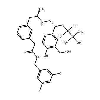 C[C@H](Cc1cccc(CC(=O)NCc2cc(Cl)cc(Cl)c2)c1)NC[C@H](CC(C)(C)[Si](C)(C)O)c1ccc(O)c(CO)c1